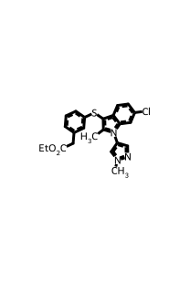 CCOC(=O)Cc1cccc(Sc2c(C)n(-c3cnn(C)c3)c3cc(Cl)ccc23)c1